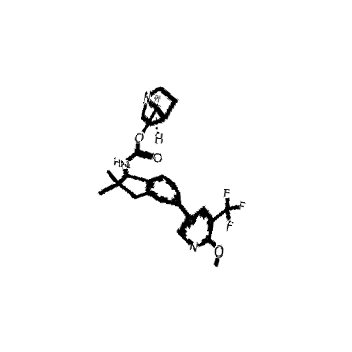 COc1ncc(-c2ccc3c(c2)CC(C)(C)C3NC(=O)O[C@H]2CN3CCC2CC3)cc1C(F)(F)F